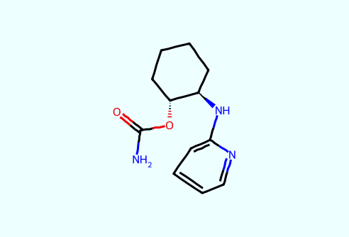 NC(=O)O[C@@H]1CCCC[C@H]1Nc1ccccn1